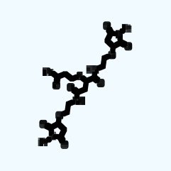 CCN1C(=O)CC(OCCNC(=O)C(CC(=O)NCCOC2CC(=O)N(C(C)C)C2=O)SCCC(=O)C(C)C)C1=O